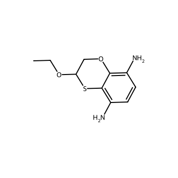 CCOC1COc2c(N)ccc(N)c2S1